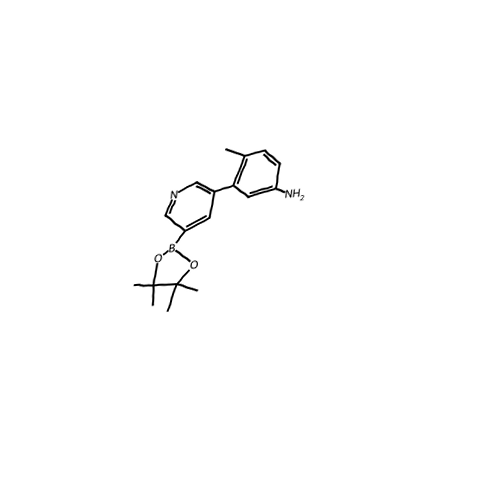 Cc1ccc(N)cc1-c1cncc(B2OC(C)(C)C(C)(C)O2)c1